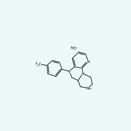 Cl.FC(F)(F)c1ccc(N2CC3CNCCN3c3ncccc32)cc1